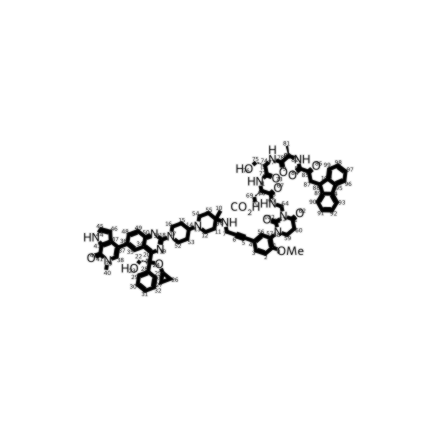 COc1ccc(C#CCNC2(C)CCN(C3CCN(c4nc([C@@](CO)(OC5CC5)c5ccccc5)c5cc(-c6cn(C)c(=O)c7[nH]ccc67)ccc5n4)CC3)CC2)cc1N1CCC(=O)N(CNC(=O)[C@H](CC(=O)O)NC(=O)[C@H](CO)NC(=O)[C@@H](C)NC(=O)C(=O)CC2c3ccccc3-c3ccccc32)C1=O